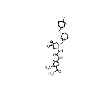 CC(=O)c1sc(NC(=O)N[C@@H]2CS(=O)(=O)C[C@@H]2CN2CCC[C@@H](Cc3ccc(F)cc3)C2)nc1C